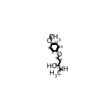 CN[C@@H](O)CCOc1ccc(OC)cc1